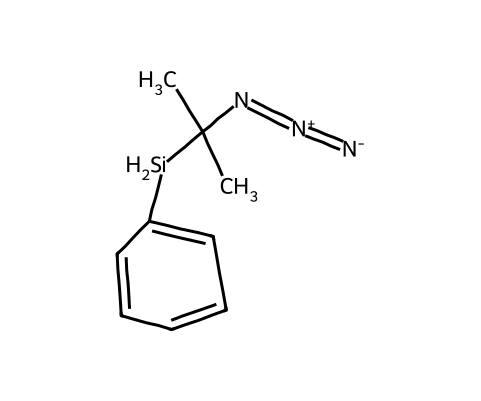 CC(C)(N=[N+]=[N-])[SiH2]c1ccccc1